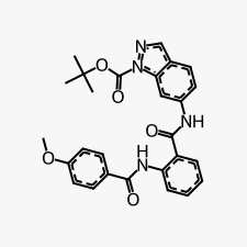 COc1ccc(C(=O)Nc2ccccc2C(=O)Nc2ccc3cnn(C(=O)OC(C)(C)C)c3c2)cc1